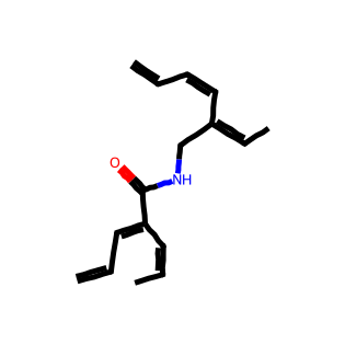 C=C/C=C\C(=C/C)CNC(=O)C(/C=C\C)=C/C=C